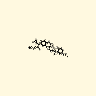 CC[C@@H](c1cc(C(F)(F)F)ccc1C(F)(F)F)N1CCC2(CCc3ccc(C(C4CC4)[C@H](C)C(=O)O)cc3O2)CC1